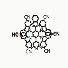 Cc1cc(-c2c(-n3c4ccc(C#N)cc4c4cc(C#N)ccc43)c(-n3c4ccc(C#N)cc4c4cc(C#N)ccc43)c(-c3nc4ccccc4s3)c(-n3c4ccc(C#N)cc4c4cc(C#N)ccc43)c2-n2c3ccc(C#N)cc3c3cc(C#N)ccc32)cc(C)n1